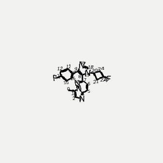 Cc1cnc2ccc(-c3c(-c4ccc(F)cc4)ncn3C3CC(F)C3)nn12